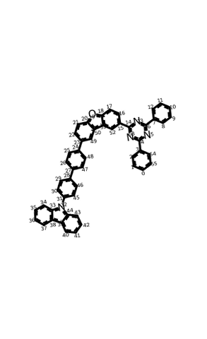 c1ccc(-c2nc(-c3ccccc3)nc(-c3ccc4oc5ccc(-c6ccc(-c7ccc(-n8c9ccccc9c9ccccc98)cc7)cc6)cc5c4c3)n2)cc1